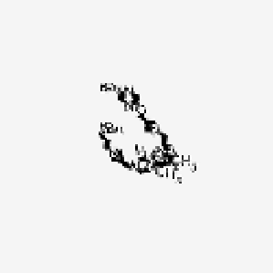 CC(C)(C)CCCN1CC(CN2CCN(C(C)(C)CC(C)(C)OCCN3CC(COc4cnc(C(C)(C)C)cn4)C3)CC2)C1